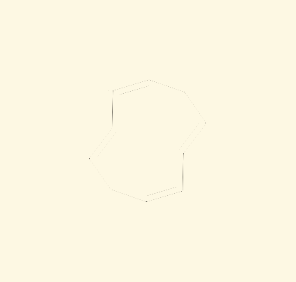 [C]1=C\C/C=C/C=C\C/C=C/1